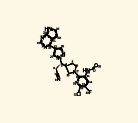 N#CC[C@@H]([C@H]1CCN(c2nc(Cl)c(F)cc2NC=O)C1)n1cc(-c2ncnc3[nH]ccc23)cn1